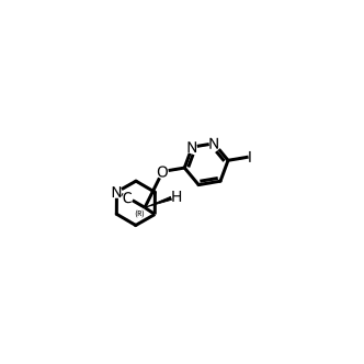 Ic1ccc(O[C@H]2CN3CCC2CC3)nn1